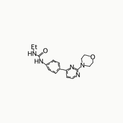 CCNC(=O)Nc1ccc(-c2ccnc(N3CCOCC3)n2)cc1